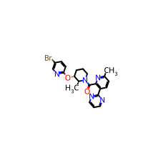 Cc1ccc(-c2ncccn2)c(C(=O)N2CCC[C@@H](Oc3ccc(Br)cn3)[C@@H]2C)n1